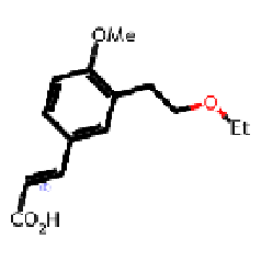 CCOCCc1cc(/C=C/C(=O)O)ccc1OC